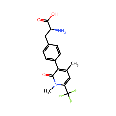 Cc1cc(C(F)(F)F)n(C)c(=O)c1-c1ccc(C[C@H](N)C(=O)O)cc1